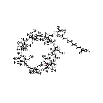 CN[C@H](CSCC1O[C@H]2O[C@@H]3C(CO)O[C@@H](O[C@@H]4C(CO)O[C@H](O[C@@H]5C(CO)O[C@H](O[C@@H]6C(CSC[C@@H](NC(=O)CCOCCOCCC(C)=O)C(=O)O)O[C@H](O[C@@H]7C(CO)O[C@@H](O[C@@H]8C(CO)O[C@@H](O[C@H]1[C@H](O)C2O)C(O)[C@@H]8O)C(O)[C@H]7O)C(O)[C@H]6O)C(O)[C@H]5O)C(O)[C@H]4O)C(O)[C@H]3O)C(=O)O